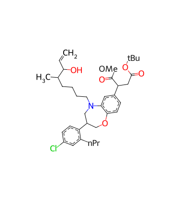 C=CC(O)C(C)CCCCN1CC(c2ccc(Cl)cc2CCC)COc2ccc(C(CC(=O)OC(C)(C)C)C(=O)OC)cc21